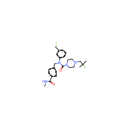 CNC(=O)c1ccc(CN(C(=O)N2CCN(CC(C)(C)F)CC2)c2cccc(CF)c2)cc1